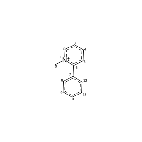 C[n+]1ccccc1-c1ccccc1